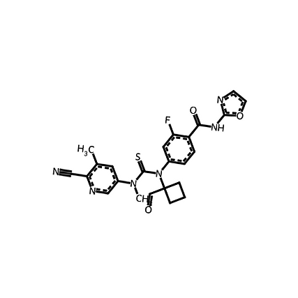 Cc1cc(N(C)C(=S)N(c2ccc(C(=O)Nc3ncco3)c(F)c2)C2(C=O)CCC2)cnc1C#N